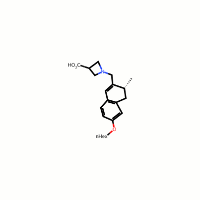 CCCCCCOc1ccc2c(c1)C[C@@H](C)C(CN1CC(C(=O)O)C1)=C2